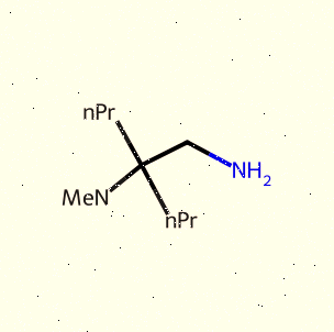 CCCC(CN)(CCC)NC